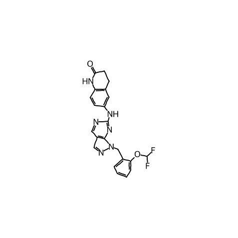 O=C1CCc2cc(Nc3ncc4cnn(Cc5ccccc5OC(F)F)c4n3)ccc2N1